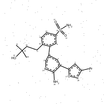 CC(C)c1cc(-c2cc(-c3cc(S(N)(=O)=O)ccc3CCC(C)(C)O)cnc2N)on1